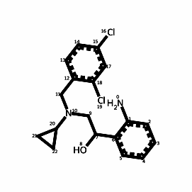 Nc1ccccc1C(O)CN(Cc1ccc(Cl)cc1Cl)C1CC1